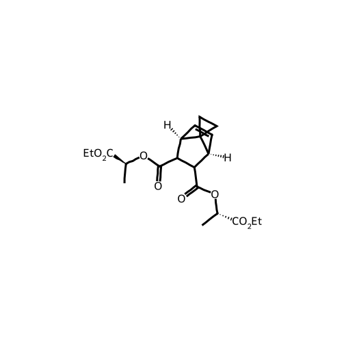 CCOC(=O)[C@H](C)OC(=O)C1C(C(=O)O[C@@H](C)C(=O)OCC)[C@@H]2C=C[C@H]1C21CC1